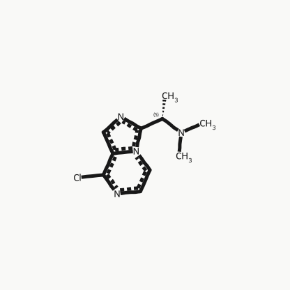 C[C@@H](c1ncc2c(Cl)nccn12)N(C)C